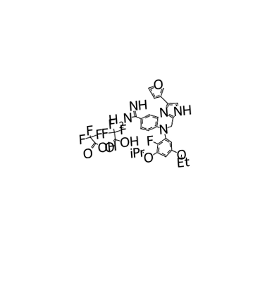 CCOc1cc(OC(C)C)c(F)c(N(Cc2nc(-c3ccoc3)c[nH]2)c2ccc(C(=N)N)cc2)c1.O=C(O)C(F)(F)F.O=C(O)C(F)(F)F